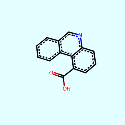 O=C(O)c1cccc2ncc3ccccc3c12